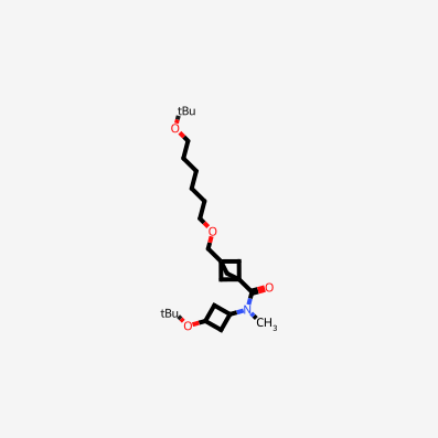 CN(C(=O)C12CC(COCCCCCCOC(C)(C)C)(C1)C2)C1CC(OC(C)(C)C)C1